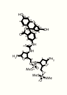 CNP(=O)(OCC1OC(P)CC1NP(=O)(OCC1OC(P)CC1NC(=S)Nc1ccc2c(c1)C(=O)OC21c2ccc(O)cc2Oc2cc(O)ccc21)SC)SC